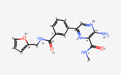 CNC(=O)c1nc(-c2cccc(C(=O)NCc3ccco3)c2)cnc1N